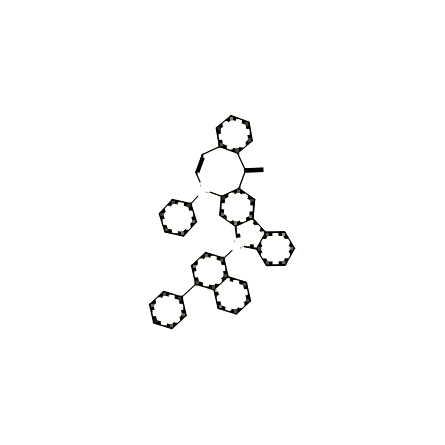 C=C1c2ccccc2/C=C\N(c2ccccc2)c2cc3c(cc21)c1ccccc1n3-c1ccc(-c2ccccc2)c2ccccc12